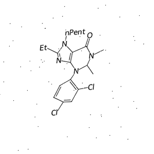 CCCCCn1c(CC)nc2c1C(=O)N(C)C(C)N2c1ccc(Cl)cc1Cl